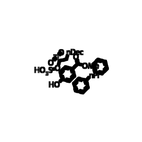 CCCCCCCCCCCCOS(=O)(=O)O.CCCc1ccccc1.COC(=O)c1ccc(O)cc1.[O]=[Ti]=[O].c1ccccc1